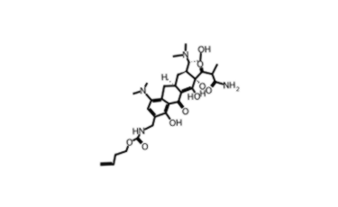 C=CCCOC(=O)NCc1cc(N(C)C)c2c(c1O)C(=O)C1=C(O)[C@](O)(C(=O)C(C)C(N)=O)[C@H]([C@@H](CO)N(C)C)C[C@@H]1C2